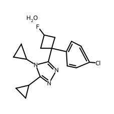 FC1CC(c2ccc(Cl)cc2)(c2nnc(C3CC3)n2C2CC2)C1.O